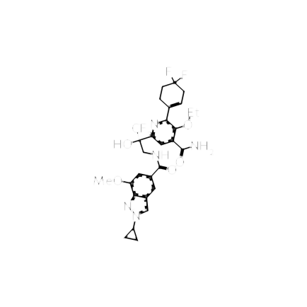 CCOc1c(C(N)=O)cc([C@](O)(CNC(=O)c2cc(OC)c3nn(C4CC4)cc3c2)C(F)(F)F)nc1C1=CCC(F)(F)CC1